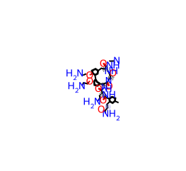 Cc1ccc(C(=O)N[C@@H](CCN)C(=O)N(C)[C@@H]2C(=O)N[C@@H](C)C(=O)N[C@H](C(=O)NCC#N)Cc3ccc(OCCN)c(c3)-c3cc2ccc3OCCN)c(/C=C/C(N)=O)c1